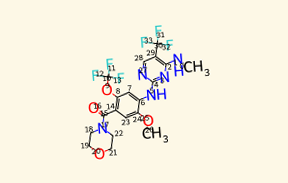 CNc1nc(Nc2cc(OC(F)(F)F)c(C(=O)N3CCOCC3)cc2OC)ncc1C(F)(F)F